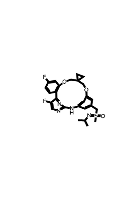 CC(C)N=S(C)(=O)Cc1cc2cc(c1)OCC1(CC1)COc1cc(F)ccc1-c1nc(ncc1F)N2